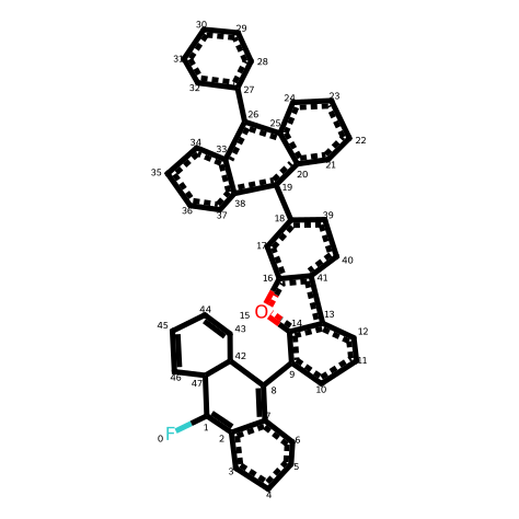 FC1=c2ccccc2=C(c2cccc3c2oc2cc(-c4c5ccccc5c(-c5ccccc5)c5ccccc45)ccc23)C2C=CC=CC12